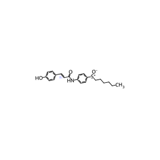 CCCCCC[S+]([O-])c1ccc(NC(=O)/C=C/c2ccc(O)cc2)cc1